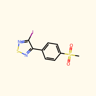 CS(=O)(=O)c1ccc(-c2nsnc2I)cc1